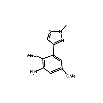 COc1cc(N)c(OC)c(-c2cnn(C)n2)c1